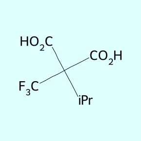 CC(C)C(C(=O)O)(C(=O)O)C(F)(F)F